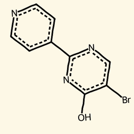 Oc1nc(-c2ccncc2)ncc1Br